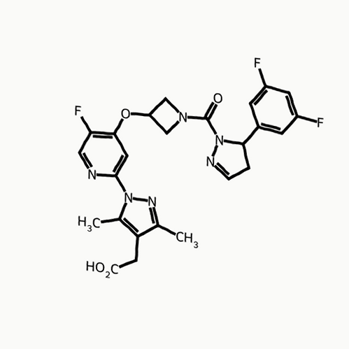 Cc1nn(-c2cc(OC3CN(C(=O)N4N=CCC4c4cc(F)cc(F)c4)C3)c(F)cn2)c(C)c1CC(=O)O